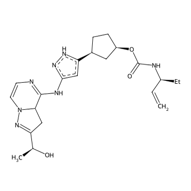 C=C[C@H](CC)NC(=O)O[C@@H]1CC[C@H](c2cc(NC3=NC=CN4N=C([C@H](C)O)CC34)n[nH]2)C1